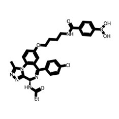 CCC(=O)N[C@@H]1N=C(c2ccc(Cl)cc2)c2cc(OCCCCNC(=O)c3ccc(B(O)O)cc3)ccc2-n2c(C)nnc21